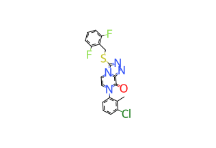 Cc1c(Cl)cccc1-n1ccn2c(SCc3c(F)cccc3F)nnc2c1=O